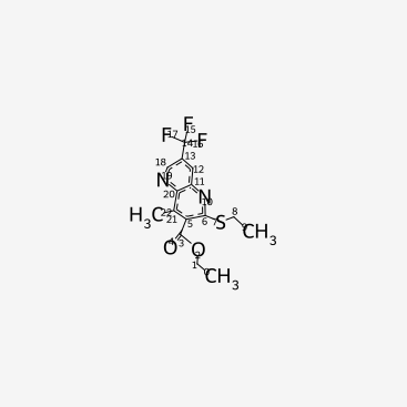 CCOC(=O)c1c(SCC)nc2cc(C(F)(F)F)cnc2c1C